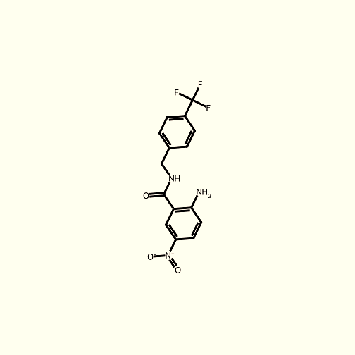 Nc1ccc([N+](=O)[O-])cc1C(=O)NCc1ccc(C(F)(F)F)cc1